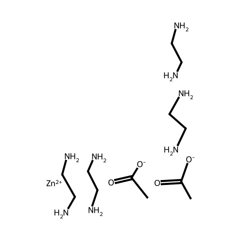 CC(=O)[O-].CC(=O)[O-].NCCN.NCCN.NCCN.NCCN.[Zn+2]